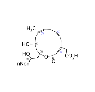 CCCCCCCCC[C@@H](O)C[C@H]1C[C@H](O)C/C(C)=C\C/C=C\C/C(CC(=O)O)=C\C(=O)O1